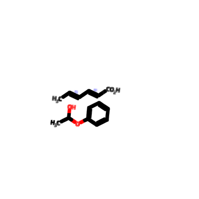 C/C=C/C=C/C(=O)O.CC(O)Oc1ccccc1